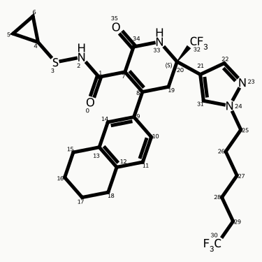 O=C(NSC1CC1)C1=C(c2ccc3c(c2)CCCC3)C[C@](c2cnn(CCCCCC(F)(F)F)c2)(C(F)(F)F)NC1=O